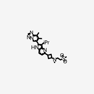 Cc1c(-c2[nH]c3ccc(C4CC(N(C)CCS(C)(=O)=O)C4)nc3c2C(C)C)cn2ncnc2c1C